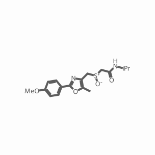 COc1ccc(-c2nc(C[S+]([O-])CC(=O)NC(C)C)c(C)o2)cc1